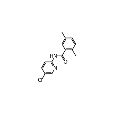 Cc1ccc(C)c(C(=O)Nc2ccc(Cl)cn2)c1